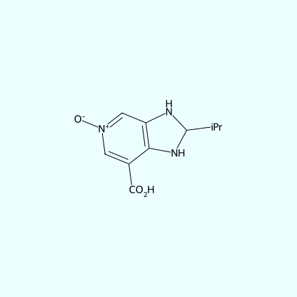 CC(C)C1Nc2c[n+]([O-])cc(C(=O)O)c2N1